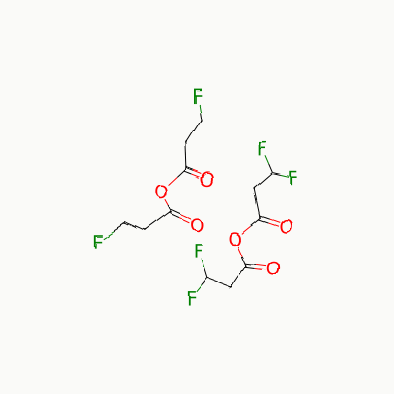 O=C(CC(F)F)OC(=O)CC(F)F.O=C(CCF)OC(=O)CCF